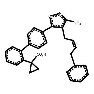 Cc1noc(-c2ccc(-c3ccccc3C3(C(=O)O)CC3)cc2)c1C/C=C\Cc1ccccc1